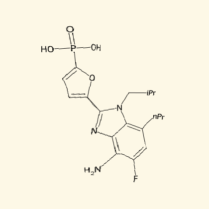 CCCc1cc(F)c(N)c2nc(-c3ccc(P(=O)(O)O)o3)n(CC(C)C)c12